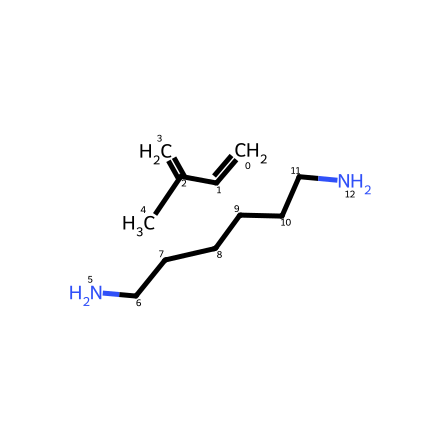 C=CC(=C)C.NCCCCCCN